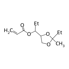 C=CC(=O)OC(CC)C1COC(C)(CC)O1